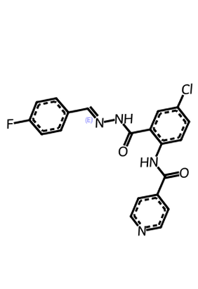 O=C(Nc1ccc(Cl)cc1C(=O)N/N=C/c1ccc(F)cc1)c1ccncc1